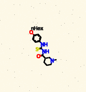 CCCCCCOc1ccc(NC(=S)NC(=O)C2CCCN(C)C2)cc1